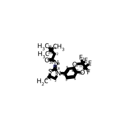 C=C1CN(c2ccc3c(c2)OC(F)(F)C(F)(F)O3)/C(=N/C(=O)CC(C)(C)C)S1